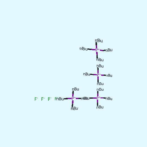 CCCC[P+](CCCC)(CCCC)CCCC.CCCC[P+](CCCC)(CCCC)CCCC.CCCC[P+](CCCC)(CCCC)CCCC.CCCC[P+](CCCC)(CCCC)CCCC.[F-].[F-].[F-].[F-]